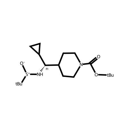 CC(C)(C)OC(=O)N1CCC([C@H](N[S+]([O-])C(C)(C)C)C2CC2)CC1